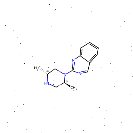 C[C@@H]1CN(c2ncc3ccccc3n2)[C@@H](C)CN1